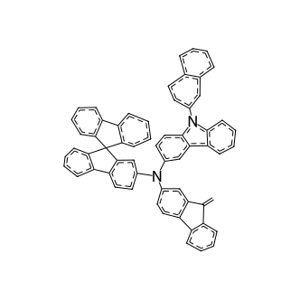 C=C1c2ccccc2-c2ccc(N(c3ccc4c(c3)C3(c5ccccc5-c5ccccc53)c3ccccc3-4)c3ccc4c(c3)c3ccccc3n4-c3ccc4ccccc4c3)cc21